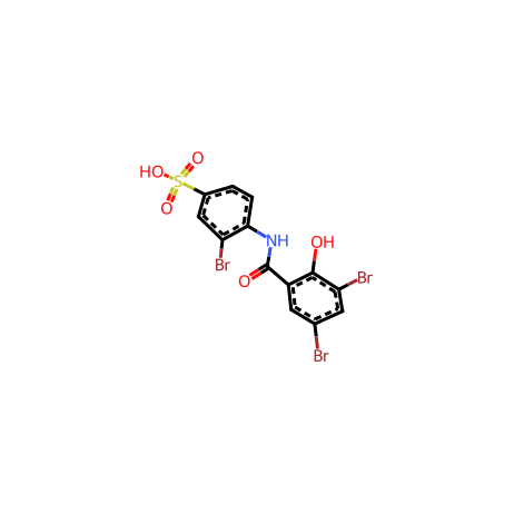 O=C(Nc1ccc(S(=O)(=O)O)cc1Br)c1cc(Br)cc(Br)c1O